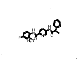 CC(C(=O)Nc1ccc(C(=O)Nc2ccc(F)cc2N)nc1)c1ccccc1